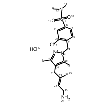 Cc1nn(Cc2ccc(S(=O)(=O)N(C)C)cc2Cl)c(C)c1CC(F)=CCN.Cl